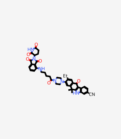 CCc1cc2c(cc1N1CCN(C(=O)CCCCNc3cccc4c3C(=O)N(C3CCC(=O)NC3=O)C4=O)CC1)C(C)(C)c1[nH]c3cc(C#N)ccc3c1C2=O